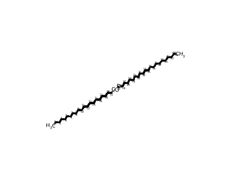 CCCCCCCCCCCCCCCCCCCCCOOOCCCCCCCCCCCCCCCCCCCCC